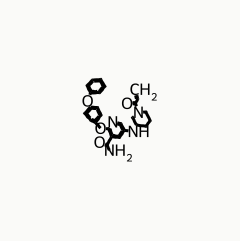 C=CC(=O)N1CCCC(Nc2cnc(Oc3ccc(Oc4ccccc4)cc3)c(C(N)=O)c2)C1